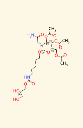 CC(=O)OC[C@H]1O[C@@H](OCCCCCNC(=O)OC[C@@H](O)CO)[C@H](CC(N)=O)[C@@H](OC(C)=O)[C@H]1OC(C)=O